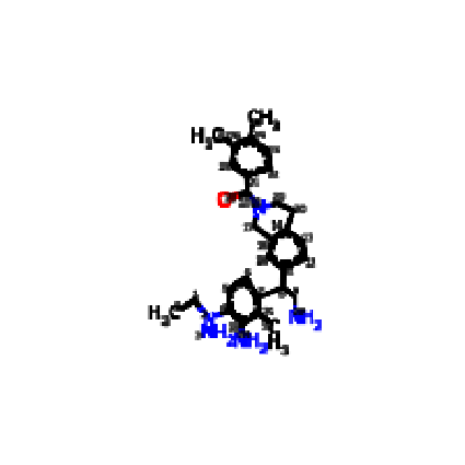 CCN(N)c1ccc(C(CN)c2ccc3c(c2)CN(C(=O)c2ccc(C)c(C)c2)CC3)c(C)c1N